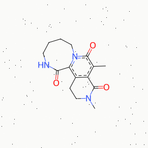 Cc1c2c(c3n(c1=O)CCCCNC3=O)CCN(C)C2=O